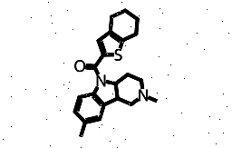 Cc1ccc2c(c1)C1CN(C)CCC1N2C(=O)c1cc2c(s1)CCCC2